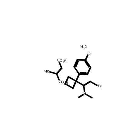 CC(C)CC(N(C)C)C1(c2ccc(Cl)cc2)CCC1.O.O=C(O)CC(O)C(=O)O